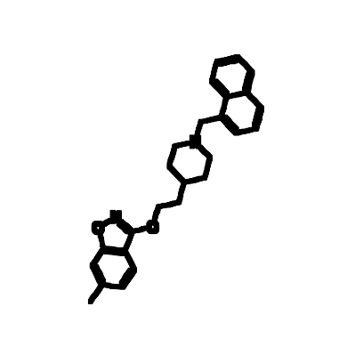 Cc1ccc2c(OCCC3CCN(Cc4cccc5ccccc45)CC3)noc2c1